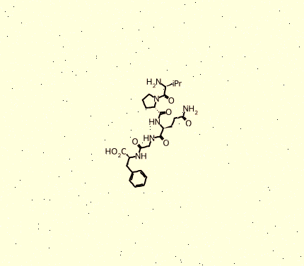 CC(C)[C@H](N)C(=O)N1CCC[C@H]1C(=O)N[C@@H](CCC(N)=O)C(=O)NCC(=O)N[C@@H](Cc1ccccc1)C(=O)O